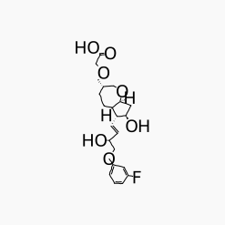 O=C(O)COC[C@H]1CC[C@@H]2[C@@H](/C=C/[C@@H](O)COc3cccc(F)c3)[C@H](O)C[C@@H]2OC1